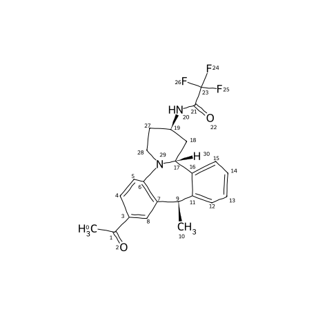 CC(=O)c1ccc2c(c1)[C@H](C)c1ccccc1[C@H]1C[C@H](NC(=O)C(F)(F)F)CCN21